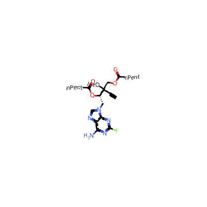 C#CC(COC(=O)CCCCC)(OC)[C@H](Cn1cnc2c(N)nc(F)nc21)OC(=O)CCCCC